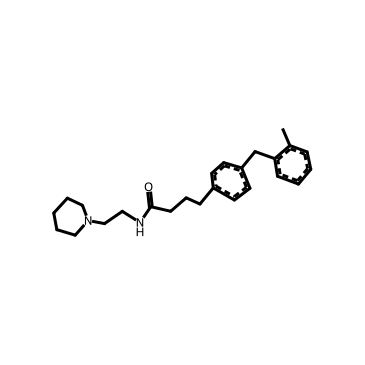 Cc1ccccc1Cc1ccc(CCCC(=O)NCCN2CCCCC2)cc1